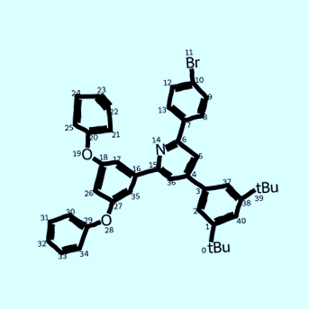 CC(C)(C)c1cc(-c2cc(-c3ccc(Br)cc3)nc(-c3cc(Oc4cc#ccc4)cc(Oc4ccccc4)c3)c2)cc(C(C)(C)C)c1